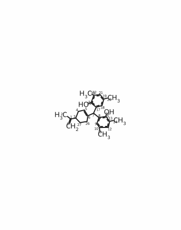 C=C(C)C1CC=C(C(c2cc(C)cc(C)c2O)c2cc(C)cc(C)c2O)CC1